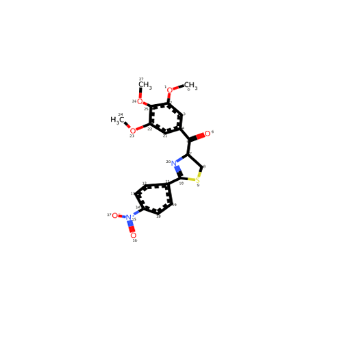 COc1cc(C(=O)C2CSC(c3ccc([N+](=O)[O-])cc3)=N2)cc(OC)c1OC